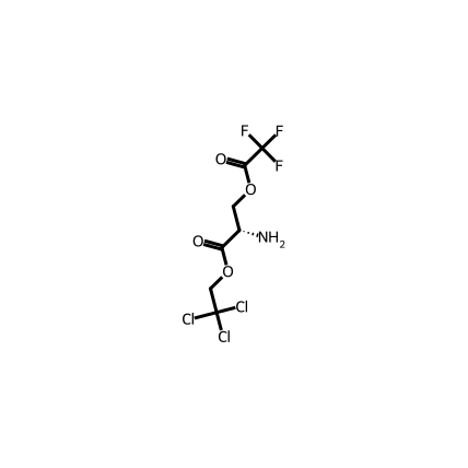 N[C@@H](COC(=O)C(F)(F)F)C(=O)OCC(Cl)(Cl)Cl